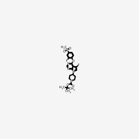 CC(C)(C)OC(=O)N1CCC(n2cc(F)c3c(Oc4ccc(S(C)(=O)=O)cc4F)ncnc32)CC1